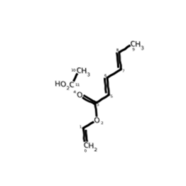 C=COC(=O)C=CC=CC.CC(=O)O